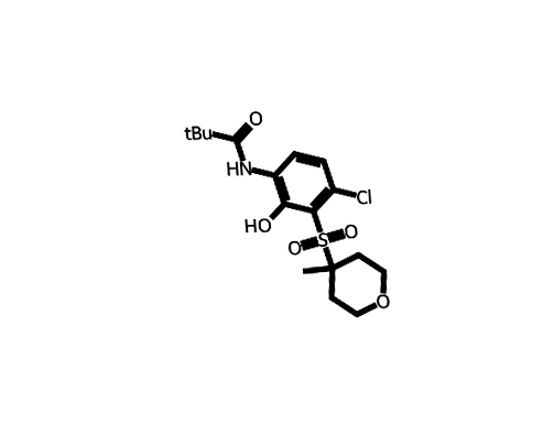 CC(C)(C)C(=O)Nc1ccc(Cl)c(S(=O)(=O)C2(C)CCOCC2)c1O